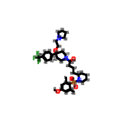 COc1cc(C)c(S(=O)(=O)N2CCCCC2CCCC(=O)N2CCC(OCCN3CCCC3)(c3ccc(C(F)(F)F)cc3)CC2)c(C)c1